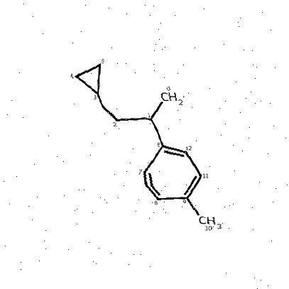 [CH2]C(CC1CC1)c1ccc(C)cc1